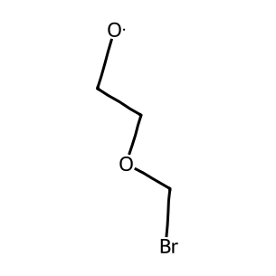 [O]CCOCBr